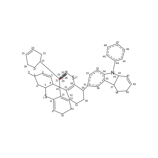 CC1C=CC2C(C1)SC1=CCCC=C1C21C2=C(Sc3ccc(C4CC=CCC4)cc31)C(c1ccc3c(c1)C1CCC=CC1N3c1ccccc1)CCC2